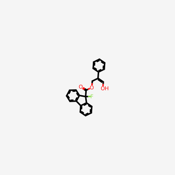 O=C(OCC(=CO)c1ccccc1)C1(F)c2ccccc2-c2ccccc21